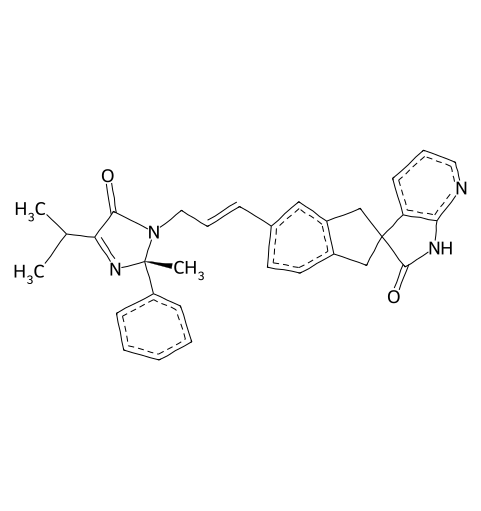 CC(C)C1=N[C@@](C)(c2ccccc2)N(C/C=C/c2ccc3c(c2)CC2(C3)C(=O)Nc3ncccc32)C1=O